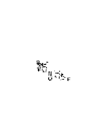 CCC(C)c1nc(CF)ccc1/C=C/C(=O)NCc1cc(F)c(NS(C)(=O)=O)c(F)c1